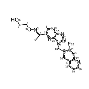 C/C(=N\OCCO)c1cnc2nnn(Cc3cc4cccnc4cc3F)c2n1